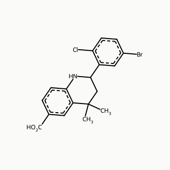 CC1(C)CC(c2cc(Br)ccc2Cl)Nc2ccc(C(=O)O)cc21